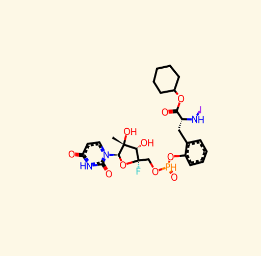 C[C@]1(O)[C@H](n2ccc(=O)[nH]c2=O)O[C@](F)(CO[PH](=O)Oc2ccccc2C[C@@H](NI)C(=O)OC2CCCCC2)[C@H]1O